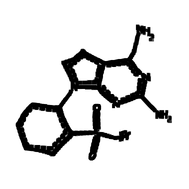 CC(C)S(=O)(=O)c1ccccc1-n1ccc2c(N)nc(N)nc21